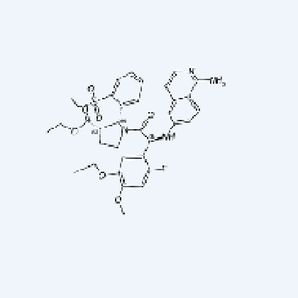 CCOC(=O)[C@H]1CCN(C(=O)[C@@H](Nc2ccc3c(N)nccc3c2)c2cc(OCC)c(OC)cc2F)[C@H]1c1ccccc1S(=O)(=O)CC